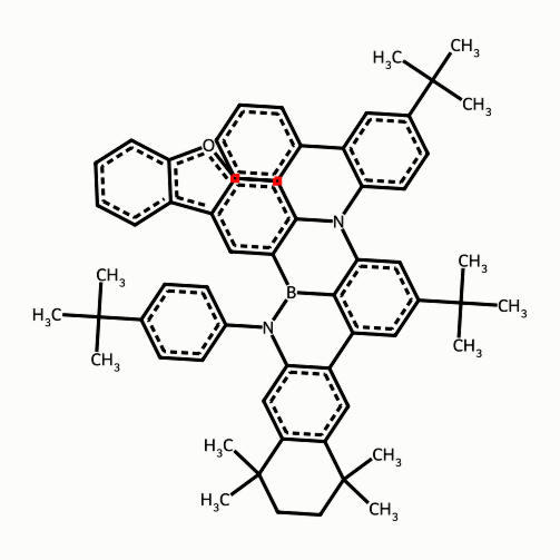 CC(C)(C)c1ccc(N2B3c4cc5c(cc4N(c4ccc(C(C)(C)C)cc4-c4ccccc4)c4cc(C(C)(C)C)cc(c43)-c3cc4c(cc32)C(C)(C)CCC4(C)C)oc2ccccc25)cc1